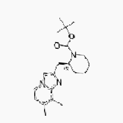 Cc1ccn2cc(C[C@@H]3CCCCN3C(=O)OC(C)(C)C)nc2c1C